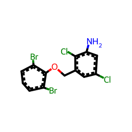 Nc1cc(Cl)cc(COc2c(Br)cccc2Br)c1Cl